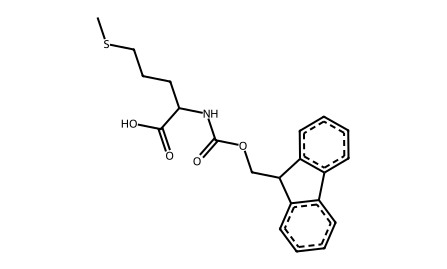 CSCCCC(NC(=O)OCC1c2ccccc2-c2ccccc21)C(=O)O